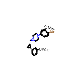 COc1cccc([C@@H]2C[C@H]2CN2CCN(c3ccc(Br)c(OC)c3)CC2)c1